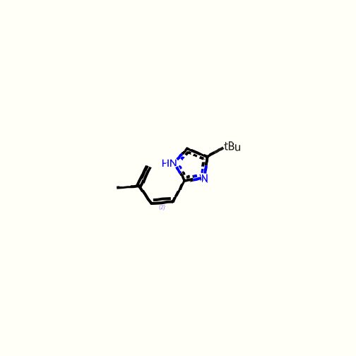 C=C(C)/C=C\c1nc(C(C)(C)C)c[nH]1